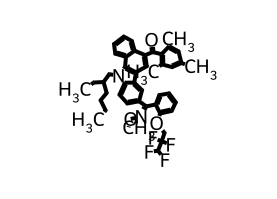 CCCCC(CC)Cn1c2ccc(/C(=N\OC)c3ccccc3OCC(F)(F)C(F)F)cc2c2cc(C(=O)c3c(C)cc(C)cc3C)c3ccccc3c21